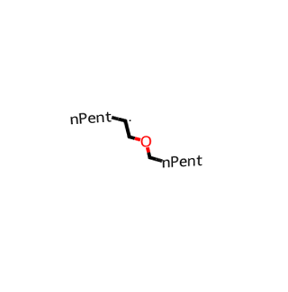 CCCCC[CH]COCCCCCC